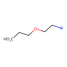 [N]CCOCCC(=O)O